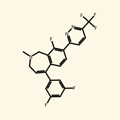 CN1CC=C(c2cc(F)cc(F)c2)c2ccc(-c3ccc(C(F)(F)F)nn3)c(F)c2C1